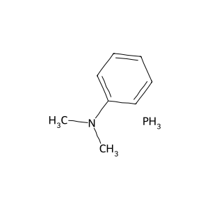 CN(C)c1ccccc1.P